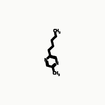 CCCCCc1cnc(C)cn1